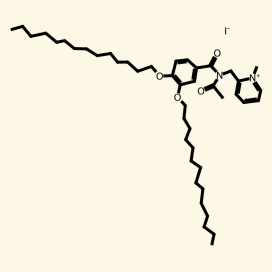 CCCCCCCCCCCCCCOc1ccc(C(=O)N(Cc2cccc[n+]2C)C(C)=O)cc1OCCCCCCCCCCCCCC.[I-]